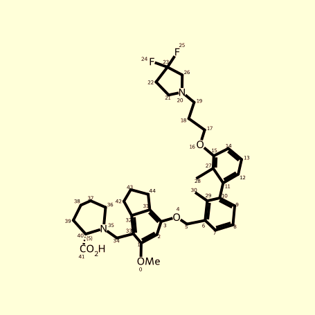 COc1cc(OCc2cccc(-c3cccc(OCCCN4CCC(F)(F)C4)c3C)c2C)c2c(c1CN1CCCC[C@H]1C(=O)O)CCC2